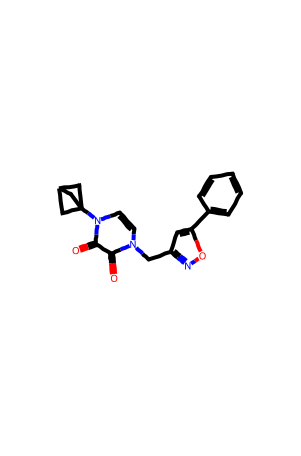 O=c1c(=O)n(C23CC(C2)C3)ccn1Cc1cc(-c2ccccc2)on1